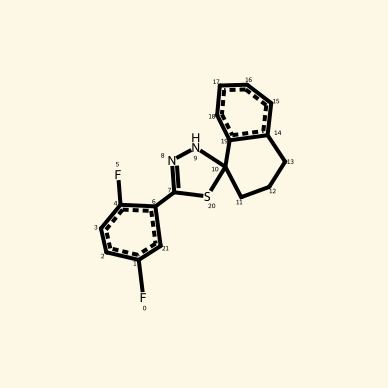 Fc1ccc(F)c(C2=NNC3(CCCc4ccccc43)S2)c1